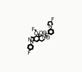 O=C(OCF)C12Cc3cnn(-c4ccc(F)cc4)c3C=C1CCN(S(=O)(=O)c1cccc(N3CCC(F)C3)c1)C2